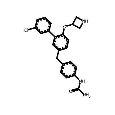 NC(=O)Nc1ccc(Cc2ccc(OC3CNC3)c(-c3cccc(Cl)c3)c2)cc1